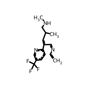 C=C/N=C\C(=C/C(C)CNC)c1ccc(C(F)(F)F)cn1